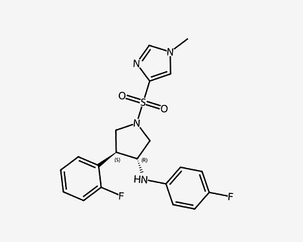 Cn1cnc(S(=O)(=O)N2C[C@H](Nc3ccc(F)cc3)[C@@H](c3ccccc3F)C2)c1